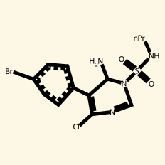 CCCNS(=O)(=O)N1C=NC(Cl)=C(c2ccc(Br)cc2)C1N